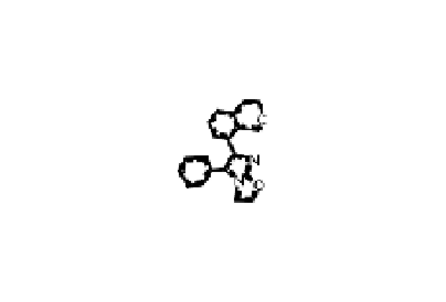 c1ccc(-c2c(-c3cccc4ccccc34)nc3occn23)cc1